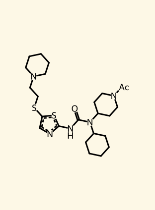 CC(=O)N1CCC(N(C(=O)Nc2ncc(SCCN3CCCCC3)s2)C2CCCCC2)CC1